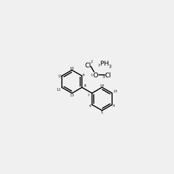 ClOCl.P.c1ccc(-c2ccccc2)cc1